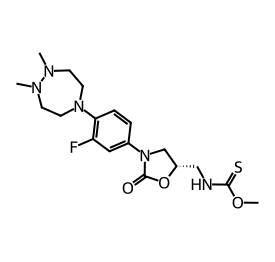 COC(=S)NC[C@H]1CN(c2ccc(N3CCN(C)N(C)CC3)c(F)c2)C(=O)O1